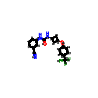 N#Cc1cccc(NC(=O)N[C@H]2C[C@@H](Oc3ccc(C(F)(F)F)cc3)C2)c1